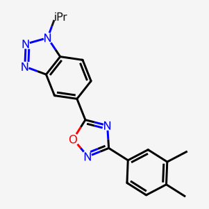 Cc1ccc(-c2noc(-c3ccc4c(c3)nnn4C(C)C)n2)cc1C